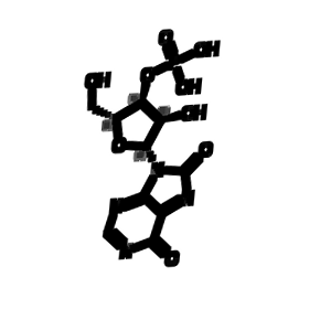 O=C1N=CN=C2C1=NC(=O)N2[C@@H]1O[C@H](CO)[C@@H](OP(=O)(O)O)[C@H]1O